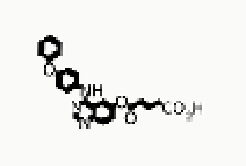 O=C(O)CC=CC(=O)Oc1ccc2ncnc(Nc3ccc(Oc4ccccc4)cc3)c2c1